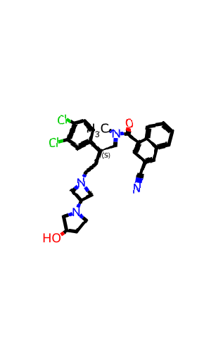 CN(C[C@@H](CCN1CC(N2CCC(O)C2)C1)c1ccc(Cl)c(Cl)c1)C(=O)c1cc(C#N)cc2ccccc12